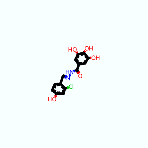 O=C(N/N=C/c1ccc(O)cc1Cl)c1cc(O)c(O)c(O)c1